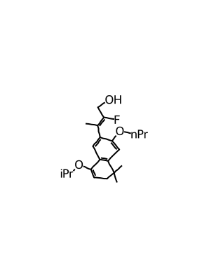 CCCOc1cc2c(cc1C(C)=C(F)CO)C(OC(C)C)=CCC2(C)C